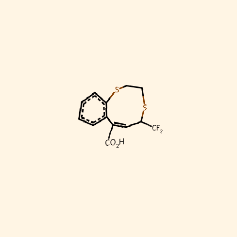 O=C(O)C1=CC(C(F)(F)F)SCCSc2ccccc21